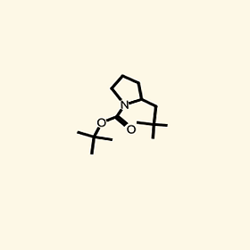 CC(C)(C)CC1CCCN1C(=O)OC(C)(C)C